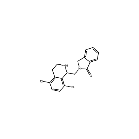 O=C1c2ccccc2CN1CC1NCCc2c(Cl)ccc(O)c21